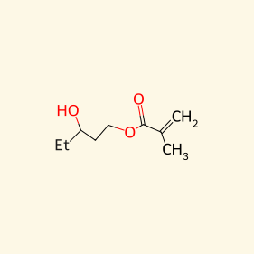 C=C(C)C(=O)OCCC(O)CC